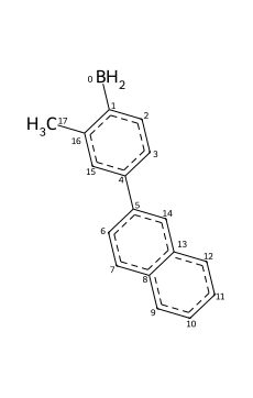 Bc1ccc(-c2ccc3ccccc3c2)cc1C